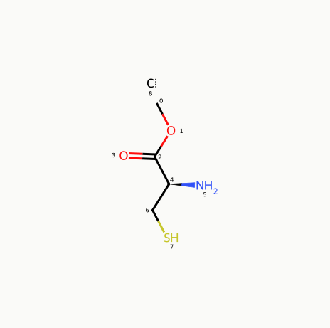 COC(=O)[C@@H](N)CS.[C]